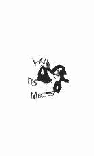 C=C(c1ccc(SC)cc1)c1cccc(/C(=C/N)c2ccc(SCC)cc2)n1